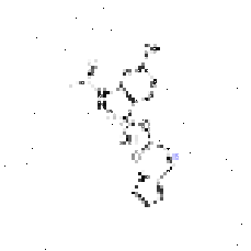 CC(=O)Nc1cc(O)ccc1[As](=O)(O)OC(=O)/C=C\c1cccs1